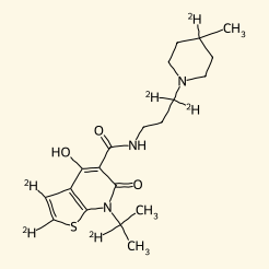 [2H]c1sc2c(c1[2H])c(O)c(C(=O)NCCC([2H])([2H])N1CCC([2H])(C)CC1)c(=O)n2C([2H])(C)C